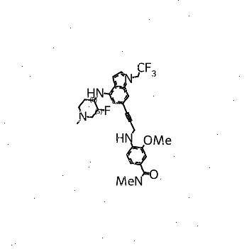 CNC(=O)c1ccc(NCC#Cc2cc(N[C@@H]3CCN(C)C[C@@H]3F)c3ccn(CC(F)(F)F)c3c2)c(OC)c1